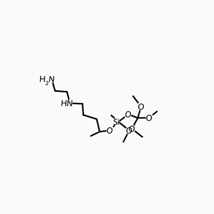 COC(OC)(OC)O[Si](C)(OC)OC(C)CCCNCCN